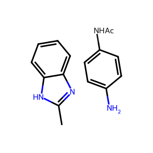 CC(=O)Nc1ccc(N)cc1.Cc1nc2ccccc2[nH]1